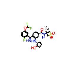 CC1(NC(=O)[C@@H]2CCC(C(=N)c3cc(OC(F)F)ccc3F)=C(N[C@@H]3CCCC3O)C2)CS(=O)(=O)C1